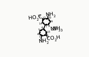 N.N.Nc1ccc(-c2ccc(N)c(C(=O)O)c2)cc1C(=O)O